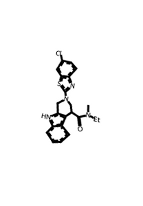 CCN(C)C(=O)C1CN(c2nc3ccc(Cl)cc3s2)Cc2[nH]c3ccccc3c21